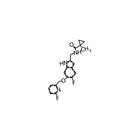 CC1(C(=O)NCc2cc3cc(F)c(OCc4cccc(F)n4)cc3[nH]2)CC1